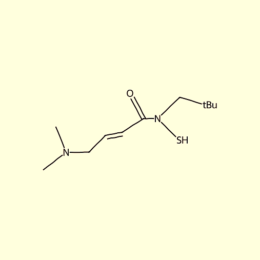 CN(C)C/C=C/C(=O)N(S)CC(C)(C)C